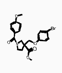 COC(=O)C1(COc2ccc(Br)cc2)CCN(C(=O)c2ccc(OC)cc2)C1